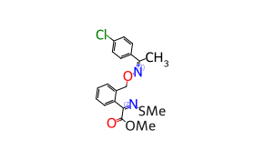 COC(=O)/C(=N\SC)c1ccccc1CO/N=C(/C)c1ccc(Cl)cc1